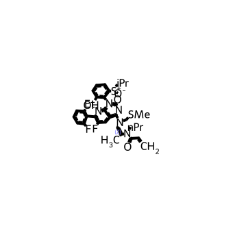 C=CC(=O)N(CCC)/C(C)=C\N(CSC)c1nc(=O)n(-c2c(CC)cccc2[S+]([O-])C(C)C)c2nc(-c3c(O)cccc3F)c(F)cc12